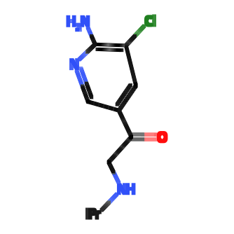 CC(C)NCC(=O)c1cnc(N)c(Cl)c1